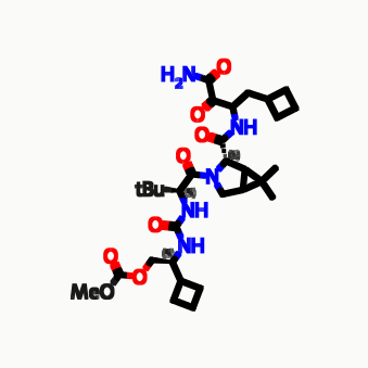 COC(=O)OC[C@@H](NC(=O)N[C@H](C(=O)N1CC2C([C@H]1C(=O)NC(CC1CCC1)C(=O)C(N)=O)C2(C)C)C(C)(C)C)C1CCC1